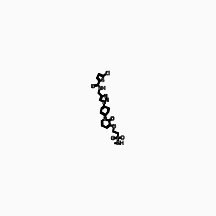 CNS(=O)(=O)CCOc1cccn(-c2ccc(-n3cc(CNC(=O)c4ccc(Cl)s4)nn3)cc2)c1=O